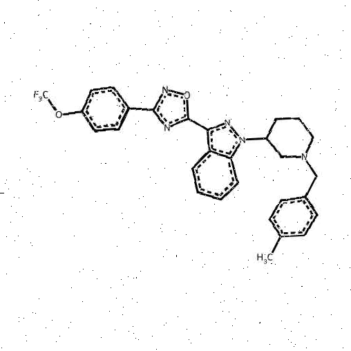 Cc1ccc(CN2CCCC(n3nc(-c4nc(-c5ccc(OC(F)(F)F)cc5)no4)c4ccccc43)C2)cc1